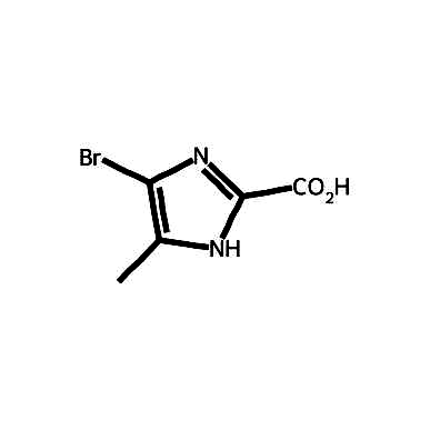 Cc1[nH]c(C(=O)O)nc1Br